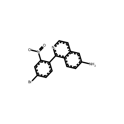 Nc1ccc2c(-c3ccc(Br)cc3[N+](=O)[O-])nccc2c1